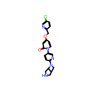 O=c1cc(OCc2ccc(Cl)cn2)ccn1-c1ccc(N2CC3CNCC32)nc1